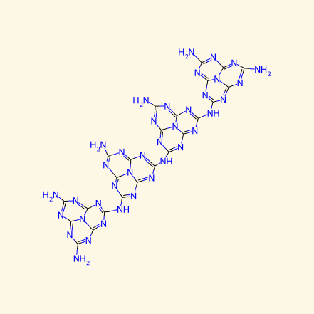 NC1=NC2=NC(N)=NC3=NC(NC4=NC5=NC(N)=NC6=NC(NC7=NC8=NC(N)=NC9=NC(NC%10=NC%11=NC(N)=NC%12=NC(N)=NC(=N%10)N%12%11)=NC(=N7)N89)=NC(=N4)N56)=NC(=N1)N23